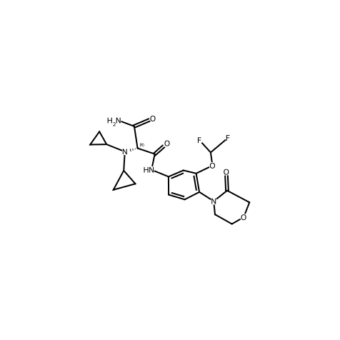 NC(=O)[C@H](C(=O)Nc1ccc(N2CCOCC2=O)c(OC(F)F)c1)N(C1CC1)C1CC1